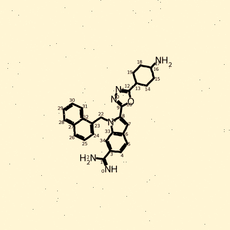 N=C(N)c1ccc2cc(-c3nnc(C4CCC(N)CC4)o3)n(Cc3cccc4ccccc34)c2c1